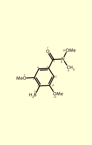 Bc1c(OC)cc(C(=O)N(C)OC)cc1OC